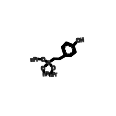 CCCO[Si](CCc1ccc(O)cc1)(OCCC)OCCC